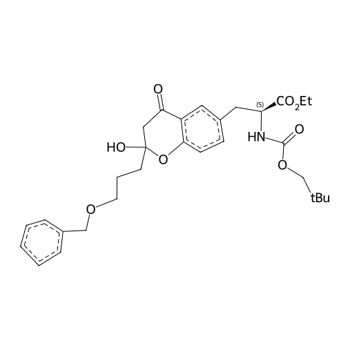 CCOC(=O)[C@H](Cc1ccc2c(c1)C(=O)CC(O)(CCCOCc1ccccc1)O2)NC(=O)OCC(C)(C)C